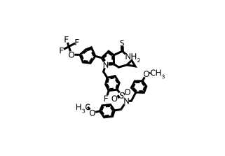 COc1ccc(CN(Cc2ccc(OC)cc2)S(=O)(=O)c2ccc(Cn3c(-c4ccc(OC(F)(F)F)cc4)cc(C(N)=S)c3CC3CC3)cc2F)cc1